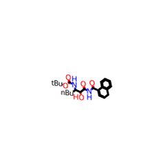 CCCCC(NC(=O)OC(C)(C)C)C(O)C(=O)NC(=O)C1=C=CCc2ccccc21